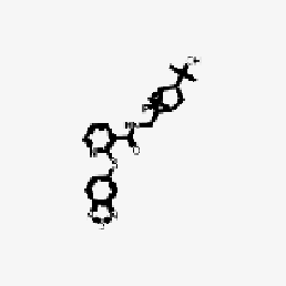 CC(C)(O)C1CC2C(CNC(=O)c3cccnc3Sc3ccc4nsnc4c3)=CC1C2F